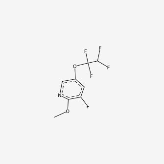 COc1ncc(OC(F)(F)C(F)F)cc1F